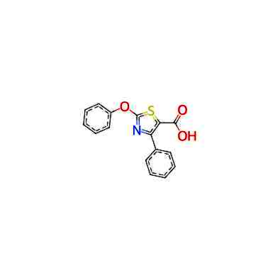 O=C(O)c1sc(Oc2ccccc2)nc1-c1ccccc1